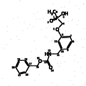 CP(=O)(O)COc1cccc(CNC(=O)OCc2ccccc2)c1